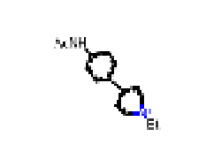 CC[n+]1ccc(-c2ccc(NC(C)=O)cc2)cc1